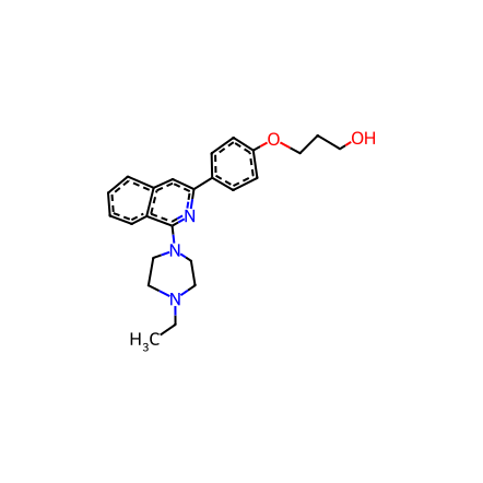 CCN1CCN(c2nc(-c3ccc(OCCCO)cc3)cc3ccccc23)CC1